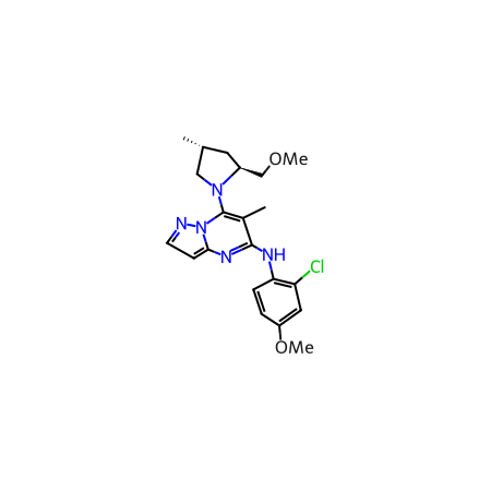 COC[C@@H]1C[C@@H](C)CN1c1c(C)c(Nc2ccc(OC)cc2Cl)nc2ccnn12